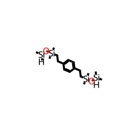 C[SiH](C)O[Si](C)(C)CCc1ccc(CC[Si](C)(C)O[SiH](C)C)cc1